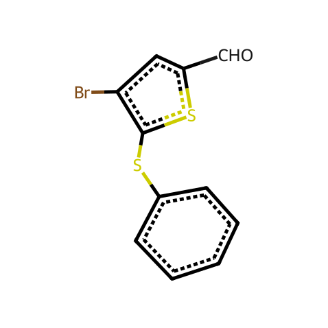 O=Cc1cc(Br)c(Sc2ccccc2)s1